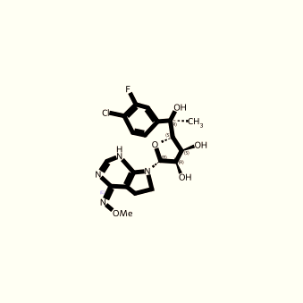 CO/N=c1/nc[nH]c2c1CCN2[C@@H]1O[C@H]([C@](C)(O)c2ccc(Cl)c(F)c2)[C@@H](O)[C@H]1O